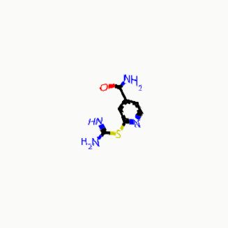 N=C(N)Sc1cc(C(N)=O)ccn1